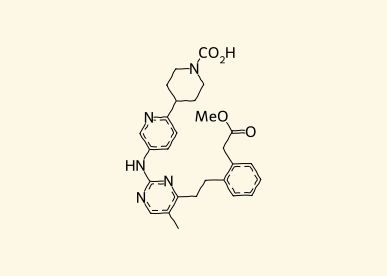 COC(=O)Cc1ccccc1CCc1nc(Nc2ccc(C3CCN(C(=O)O)CC3)nc2)ncc1C